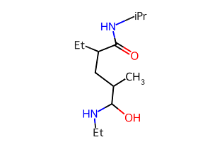 CCNC(O)C(C)CC(CC)C(=O)NC(C)C